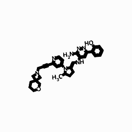 CC1CC/C(=C\Nc2cc(-c3ccccc3O)nnc2N)N1c1ccnc(C#CCN2CC3(CCCOC3)C2)c1